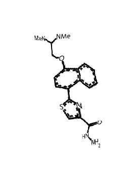 CNC(COc1ccc(-c2nc(C(=O)NN)cs2)c2ccccc12)NC